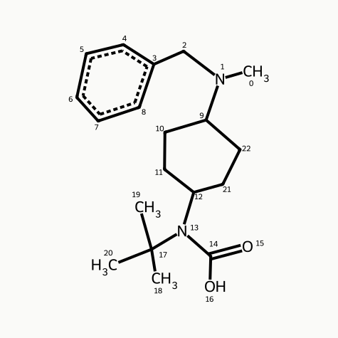 CN(Cc1ccccc1)C1CCC(N(C(=O)O)C(C)(C)C)CC1